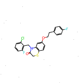 O=C1CSc2ccc(OCCc3ccc(F)cc3)cc2N1Cc1c(F)cccc1Cl